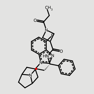 CCC(=O)N1CC(C(=O)N[C@@H](CCN2C3CCC2CC(n2cnc4c(F)cccc42)C3)c2ccccc2)C1